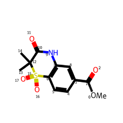 COC(=O)c1ccc2c(c1)NC(=O)C(C)(C)S2(=O)=O